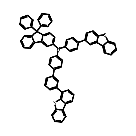 c1ccc(C2(c3ccccc3)c3ccccc3-c3cc(N(c4ccc(-c5cccc(-c6cccc7c6sc6ccccc67)c5)cc4)c4ccc(-c5ccc6sc7ccccc7c6c5)cc4)ccc32)cc1